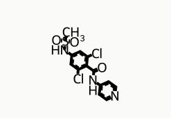 CS(=O)(=O)Nc1cc(Cl)c(C(=O)Nc2ccncc2)c(Cl)c1